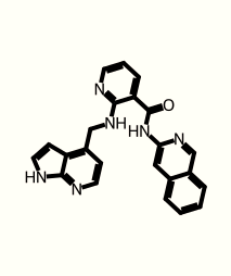 O=C(Nc1cc2ccccc2cn1)c1cccnc1NCc1ccnc2[nH]ccc12